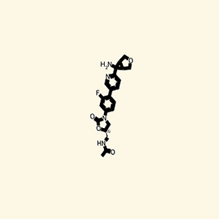 CC(=O)NC[C@H]1CN(c2ccc(-c3ccc(C4(N)C5COCC54)nc3)c(F)c2)C(=O)O1